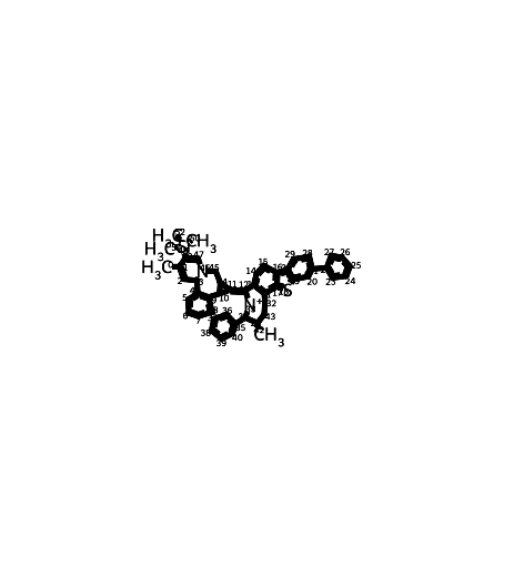 CC1=CC2c3ccccc3C3/C(=C4/c5ccc6c(sc7cc(-c8ccccc8)ccc76)c5C5=[N+]4C(c4ccccc4)C(C)C5)C3CN2C=C1[Si](C)(C)C